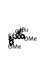 CCc1cc2cc(OC)ccc2n1CCC(=O)Cc1cc(OC)ccc1NC(=O)OC(C)(C)C